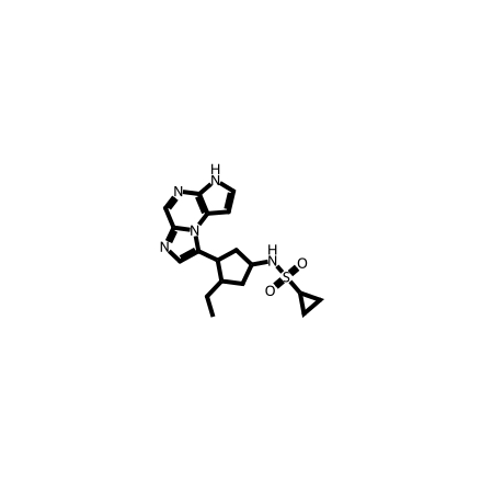 CCC1CC(NS(=O)(=O)C2CC2)CC1c1cnc2cnc3[nH]ccc3n12